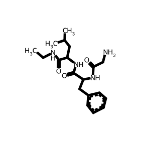 CCNC(=O)C(CC(C)C)NC(=O)C(Cc1ccccc1)NC(=O)CN